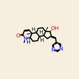 CN1C(=O)C=C[C@]2(C)[C@H]3CC[C@]4(C)[C@@H](O)C(=Cc5cncnc5)C[C@H]4[C@@H]3CC[C@@H]12